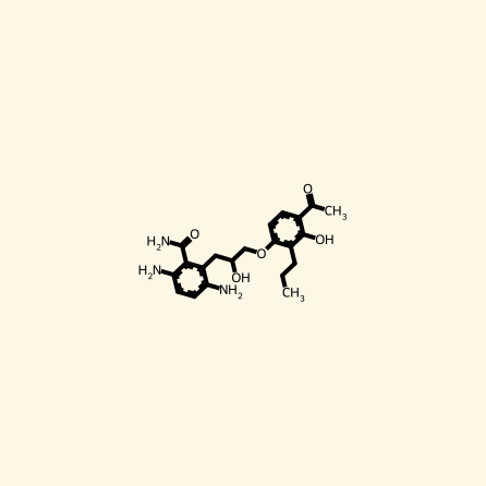 CCCc1c(OCC(O)Cc2c(N)ccc(N)c2C(N)=O)ccc(C(C)=O)c1O